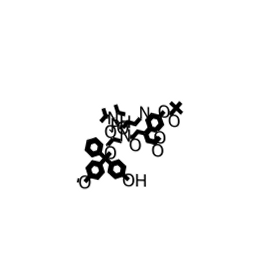 COc1ccc(C(OCC(CNC(=O)Cc2cc(=O)oc3cc(OC(=O)C(C)(C)C)ccc23)OP(OCCC#N)N(C(C)C)C(C)C)(c2ccccc2)c2ccc(O)cc2)cc1